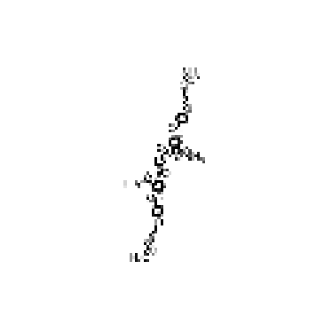 C=CC(=O)OCCCCOc1ccc(C(=O)Oc2ccc(OC(=O)C3CCC(C(=O)Oc4ccc(OC(=O)c5ccc(OCCCCOC(=O)C=C)cc5)cc4C(=O)OC)C3)c(C(=O)OC)c2)cc1